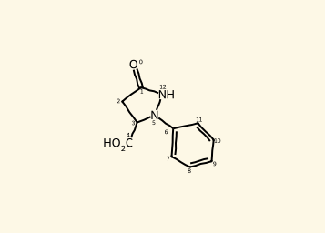 O=C1CC(C(=O)O)N(c2ccccc2)N1